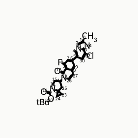 Cc1cn2cc(-c3cc(F)c4c(=O)n(C5CCN(C(=O)OC(C)(C)C)C6(CC6)C5)ccc4c3)cc(Cl)c2n1